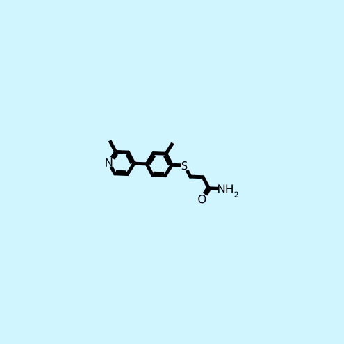 Cc1cc(-c2ccc(SCCC(N)=O)c(C)c2)ccn1